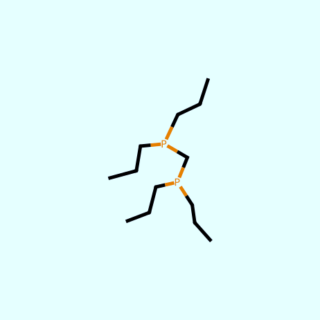 CCCP(CCC)CP(CCC)CCC